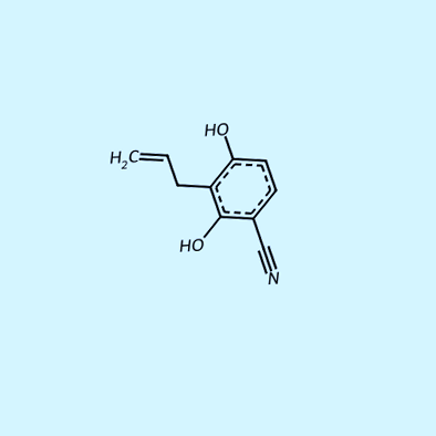 C=CCc1c(O)ccc(C#N)c1O